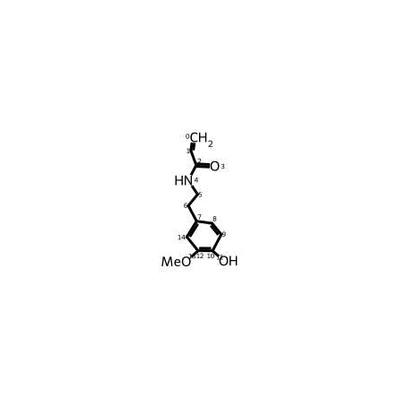 C=CC(=O)NCCc1ccc(O)c(OC)c1